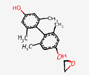 C1CO1.Cc1cc(O)cc(C)c1-c1c(C)cc(O)cc1C